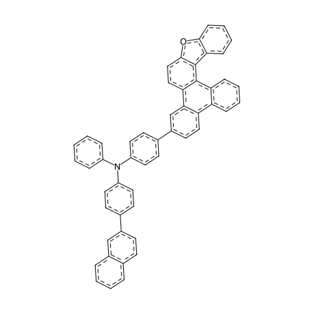 c1ccc(N(c2ccc(-c3ccc4ccccc4c3)cc2)c2ccc(-c3ccc4c5ccccc5c5c(ccc6oc7ccccc7c65)c4c3)cc2)cc1